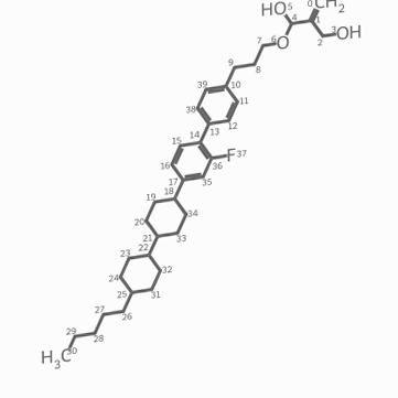 C=C(CO)C(O)OCCCc1ccc(-c2ccc(C3CCC(C4CCC(CCCCC)CC4)CC3)cc2F)cc1